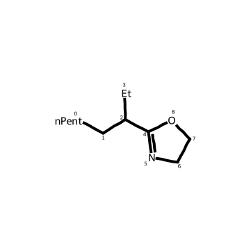 CCCCCCC(CC)C1=NCCO1